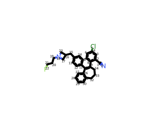 N#Cc1cc(Cl)ccc1C1=C(c2ccc(CC3CN(CCCF)C3)cc2)c2ccccc2CCC1